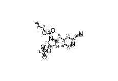 C=CCOC(=O)N1C[C@H](OS(C)(=O)=O)C[C@H]1Cc1ccnc(C#N)c1